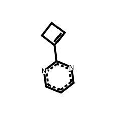 C1=C(c2ncccn2)CC1